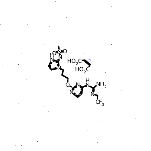 CS(=O)(=O)N=c1[nH]ccn1CCCOc1nccc(NC(N)=NCC(F)(F)F)n1.O=C(O)/C=C\C(=O)O